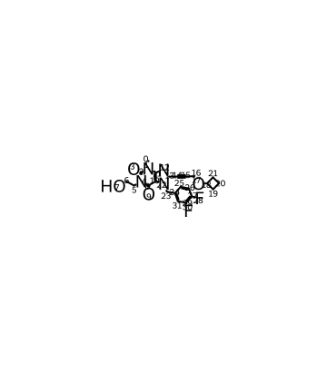 Cn1c(=O)n(CCO)c(=O)c2c1nc(C#CCOC1CCC1)n2Cc1ccc(F)c(F)c1